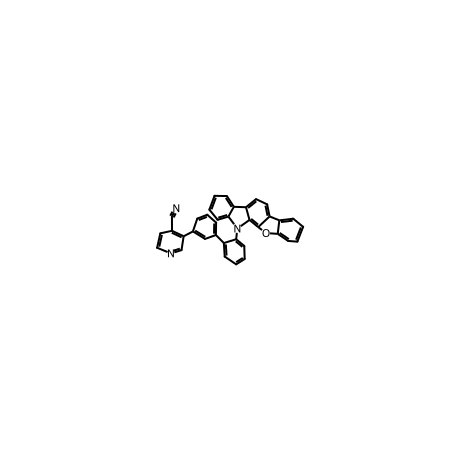 N#Cc1ccncc1-c1cccc(-c2ccccc2-n2c3ccccc3c3ccc4c5ccccc5oc4c32)c1